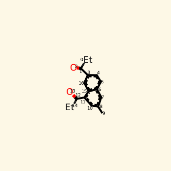 CCC(=O)c1ccc2cc(C)cc(C(=O)CC)c2c1